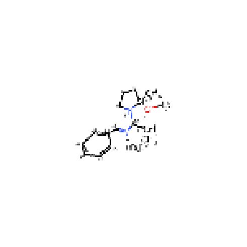 CCCCC.CCO[Si]1(C)CCCN1C(C)N=Cc1ccccc1